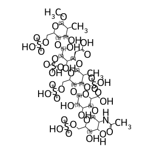 CO[C@H]1OC(COS(=O)(=O)O)[C@@H](O[C@H](O)[C@@H](OS(=O)(=O)O)C(O)[C@@H](CC(=O)O)O[C@H]2OC(COS(=O)(=O)O)[C@@H](O[C@@H]3OC(C(=O)O)[C@@H](O[C@H]4OC(COS(=O)(=O)O)[C@@H](O)C(O)C4NC(C)=O)C(O)[C@@H]3O)[C@H](OS(=O)(=O)O)C2C)[C@H](O)C1C